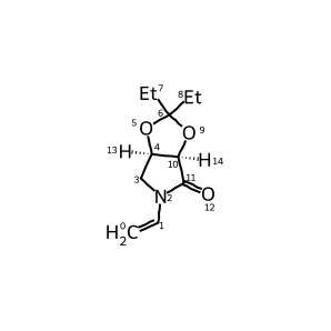 C=CN1C[C@H]2OC(CC)(CC)O[C@H]2C1=O